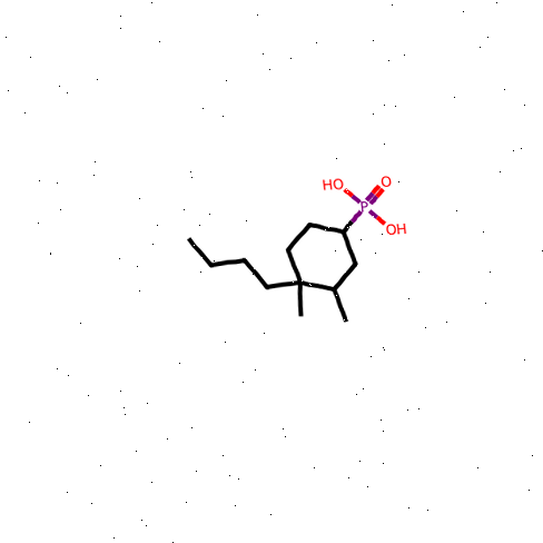 CCCCC1(C)CCC(P(=O)(O)O)CC1C